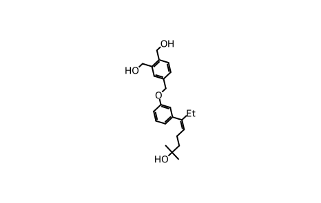 CC/C(=C/CCC(C)(C)O)c1cccc(OCc2ccc(CO)c(CO)c2)c1